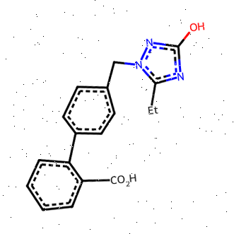 CCc1nc(O)nn1Cc1ccc(-c2ccccc2C(=O)O)cc1